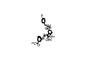 O=C(O)c1cccc(N=Nc2c(O)[nH]c3ccc(S(=O)(=O)NCc4ccc(F)cc4)cc23)c1